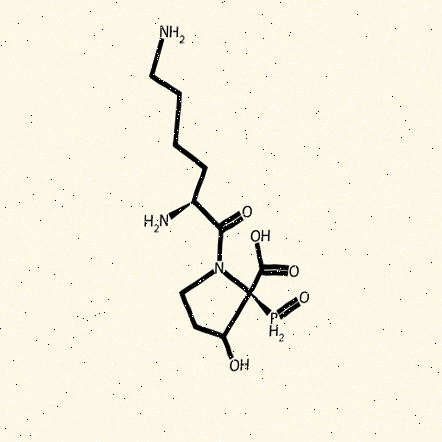 NCCCC[C@H](N)C(=O)N1CCC(O)[C@@]1([PH2]=O)C(=O)O